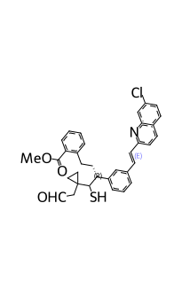 COC(=O)c1ccccc1CC[C@H](c1cccc(/C=C/c2ccc3ccc(Cl)cc3n2)c1)C(S)C1(CC=O)CC1